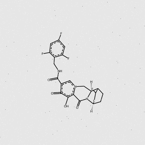 O=C(NCc1c(F)cc(F)cc1F)c1cn2c(c(O)c1=O)C(=O)N1[C@@H]3CCC(C(F)C3)[C@@H]1C2